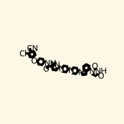 N#Cc1ccc(O[C@H]2CC[C@H](NC(=O)c3ccc(N4CCC(N5CCC(n6ccc7c(N8CCC(=O)NC8=O)cccc76)CC5)CC4)nn3)CC2)cc1Cl